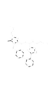 CCCCCCCc1nn(CCC)c(=O)n1Cc1ccc(-c2ccccc2-c2nnn[nH]2)cc1